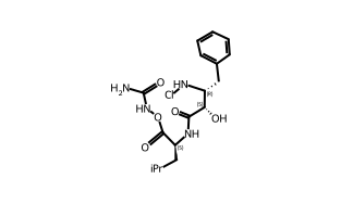 CC(C)C[C@H](NC(=O)[C@@H](O)[C@@H](Cc1ccccc1)NCl)C(=O)ONC(N)=O